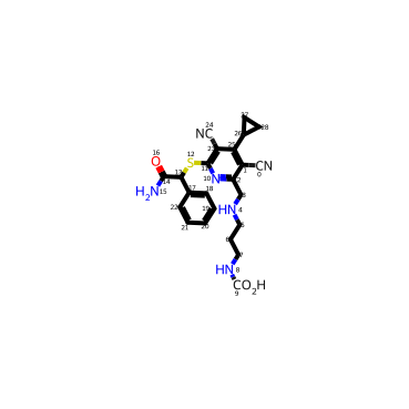 N#Cc1c(CNCCCNC(=O)O)nc(SC(C(N)=O)c2ccccc2)c(C#N)c1C1CC1